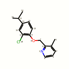 Cc1cccnc1COc1ccc(C(C)C)cc1Cl